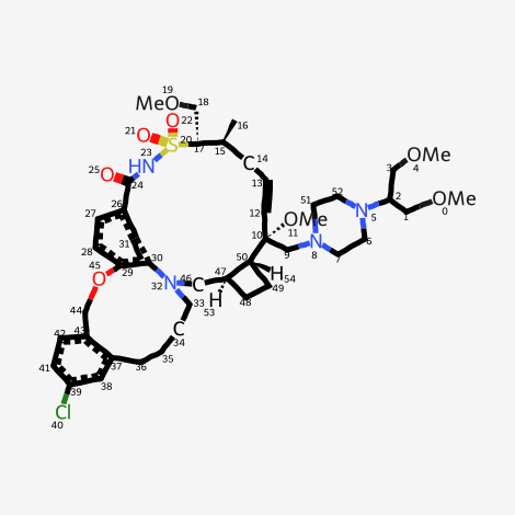 COCC(COC)N1CCN(C[C@]2(OC)/C=C/C[C@H](C)[C@@H](COC)S(=O)(=O)NC(=O)c3ccc4c(c3)N(CCCCc3cc(Cl)ccc3CO4)C[C@@H]3CC[C@H]32)CC1